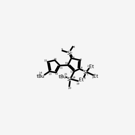 CC[Si](CC)(CC)C1=[C]C(=[Si](C)C)C(C2=CC(C(C)(C)C)=CC2)=C1[Si](C)(C)C(C)(C)C